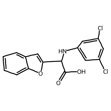 O=C(O)C(Nc1cc(Cl)cc(Cl)c1)c1cc2ccccc2o1